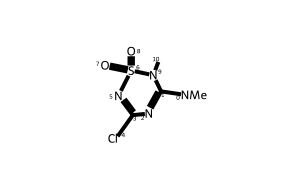 CNC1=NC(Cl)=NS(=O)(=O)N1C